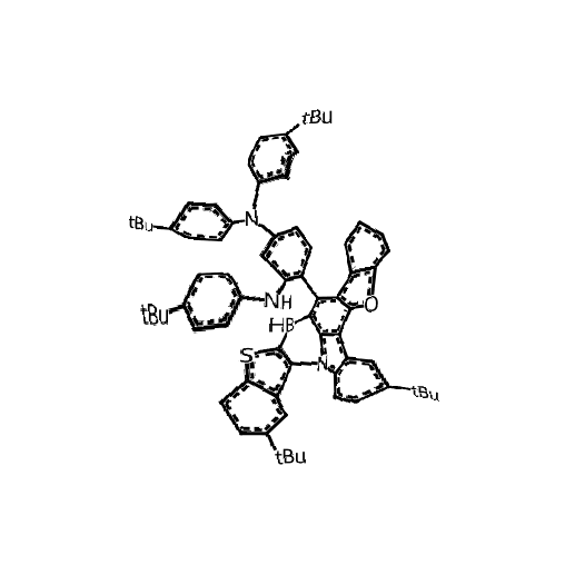 CC(C)(C)c1ccc(Nc2cc(N(c3ccc(C(C)(C)C)cc3)c3ccc(C(C)(C)C)cc3)ccc2-c2c3c4c(c5cc(C(C)(C)C)ccc5n4-c4c(sc5ccc(C(C)(C)C)cc45)B3)c3oc4ccccc4c23)cc1